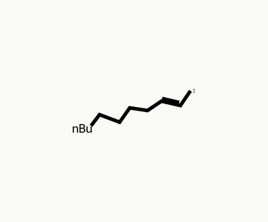 [CH]C=CCCCCCCCC